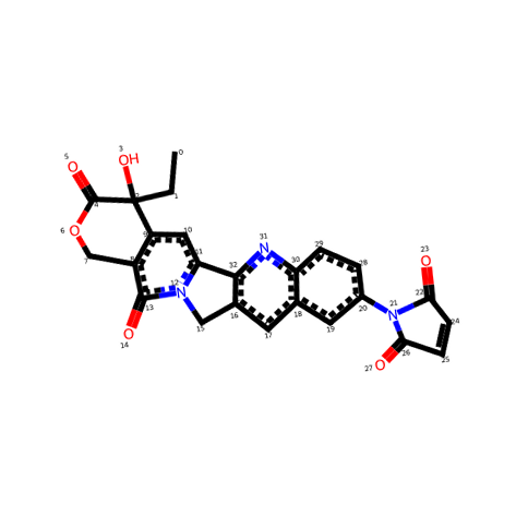 CCC1(O)C(=O)OCc2c1cc1n(c2=O)Cc2cc3cc(N4C(=O)C=CC4=O)ccc3nc2-1